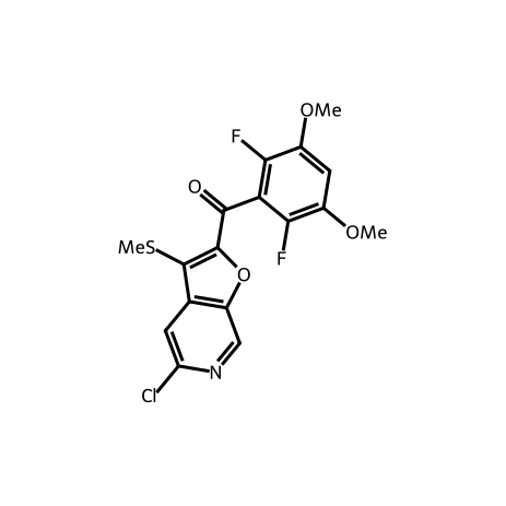 COc1cc(OC)c(F)c(C(=O)c2oc3cnc(Cl)cc3c2SC)c1F